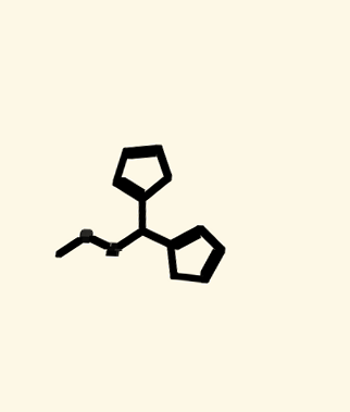 C[O][Zr][CH](C1=CC=CC1)C1=CC=CC1